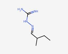 CCC(C)/C=N/NC(=N)N